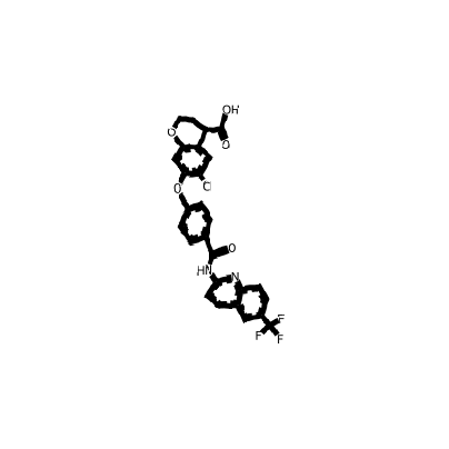 O=C(Nc1ccc2cc(C(F)(F)F)ccc2n1)c1ccc(Oc2cc3c(cc2Cl)C(C(=O)O)CCO3)cc1